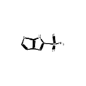 NS(=O)(=O)c1cc2ccsc2[nH]1